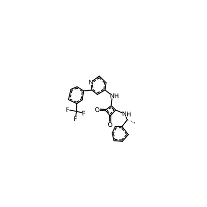 C[C@@H](Nc1c(Nc2ccnc(-c3cccc(C(F)(F)F)c3)c2)c(=O)c1=O)c1ccccc1